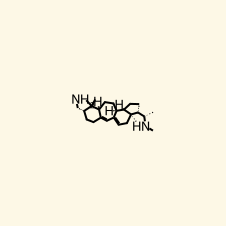 CN[C@@H](C)[C@H]1CC[C@H]2[C@@H]3CC[C@@H]4C(=CC3=CC[C@]12C)CC[C@H](CN)C4(C)C